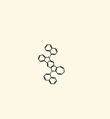 C1=Cc2c(n(-c3cccc4ccccc34)c3cc4c5ccccc5n(-c5cccc6ccccc56)c4cc23)C=CC1